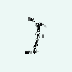 CSNCCOCCOCCOCCNC(=O)Cc1ccc(SSC(C)OCCCCOC(C)C)cc1